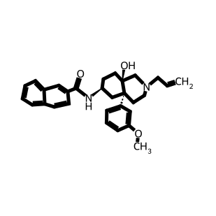 C=CCN1CC[C@@]2(c3cccc(OC)c3)C[C@@H](NC(=O)c3ccc4ccccc4c3)CC[C@]2(O)C1